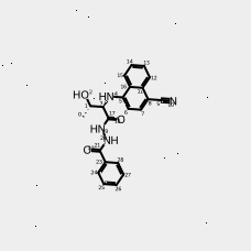 C[C@H](O)[C@@H](Nc1ccc(C#N)c2ccccc12)C(=O)NNC(=O)c1ccccc1